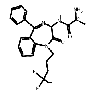 C[C@H](N)C(=O)NC1N=C(c2ccccc2)c2ccccc2N(CCCC(F)(F)F)C1=O